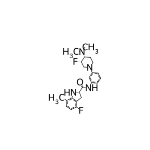 Cc1ccc(F)c2c1NC(C(=O)Nc1cccc(N3CC[C@@H](N(C)C)[C@@H](F)C3)c1)C2